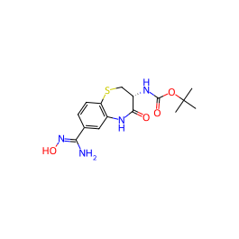 CC(C)(C)OC(=O)N[C@H]1CSc2ccc(/C(N)=N/O)cc2NC1=O